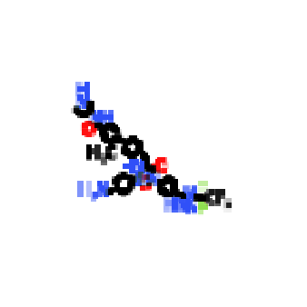 Cc1cc(C(=O)N[C@@H]2CCNC2)ccc1-c1ccc(CC(NC(=O)[C@H]2CC[C@H](CN)CC2)C(=O)Nc2ccc(-c3nc(C(F)(F)C(F)(F)F)n[nH]3)cc2)cc1